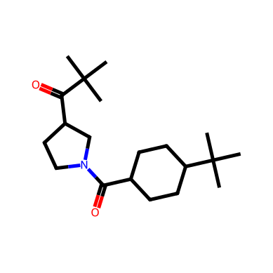 CC(C)(C)C(=O)C1CCN(C(=O)C2CCC(C(C)(C)C)CC2)C1